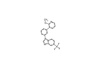 COc1ncccc1-c1cccc(-n2cnc3cc(C(F)(F)F)ccc32)c1